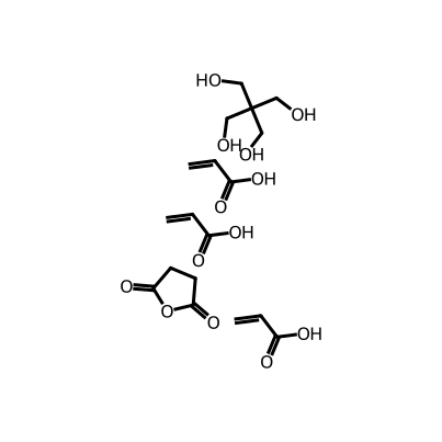 C=CC(=O)O.C=CC(=O)O.C=CC(=O)O.O=C1CCC(=O)O1.OCC(CO)(CO)CO